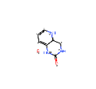 O=C1NCC2NC=CC=C2N1.[O]